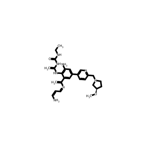 C=C(NC(=O)NCC)Nc1c(N)cc(-c2ccc(CN3CC[C@@H](OC)C3)nc2)cc1C(=C)/N=C\C=C/N